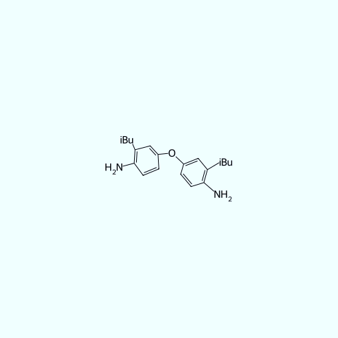 CCC(C)c1cc(Oc2ccc(N)c(C(C)CC)c2)ccc1N